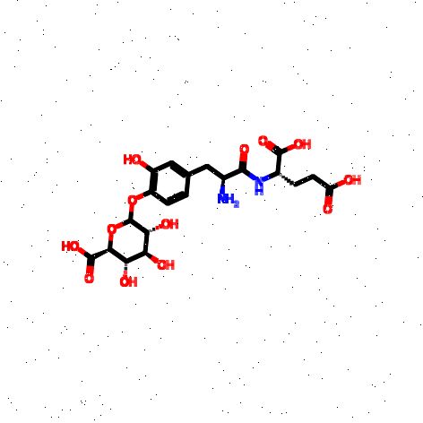 N[C@@H](Cc1ccc(OC2O[C@H](C(=O)O)[C@@H](O)[C@H](O)[C@H]2O)c(O)c1)C(=O)N[C@@H](CCC(=O)O)C(=O)O